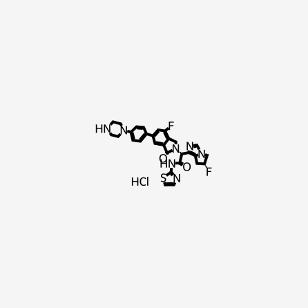 Cl.O=C(Nc1nccs1)[C@@H](c1ncn2c1C[C@@H](F)C2)N1Cc2c(F)cc(-c3ccc(N4CCNCC4)cc3)cc2C1=O